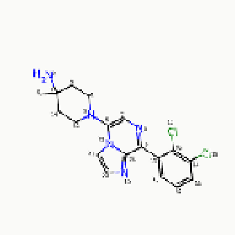 CC1(N)CCN(c2cnc(-c3cccc(Cl)c3Cl)c3nccn23)CC1